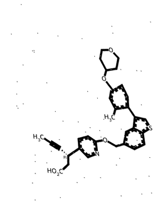 CC#C[C@@H](CC(=O)O)c1ccc(OCc2ccc3scc(-c4ccc(OC5CCOCC5)cc4C)c3c2)nc1